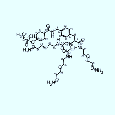 CSP(C)(=O)O[C@H]1CC[C@@H](C(=O)NCc2ccc(C[C@@H](C(=O)NCCOCCON)N(CC(=O)NCCOCCON)CC(=O)NCCOCCON)cc2)CC1